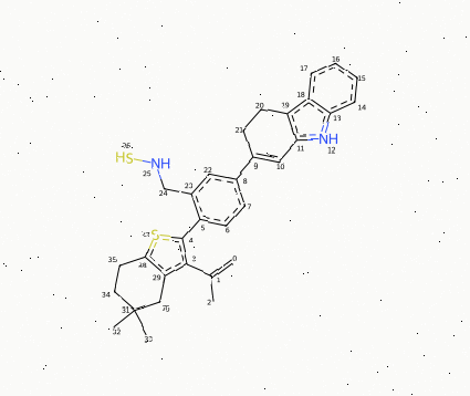 C=C(C)c1c(-c2ccc(C3=Cc4[nH]c5ccccc5c4CC3)cc2CNS)sc2c1CC(C)(C)CC2